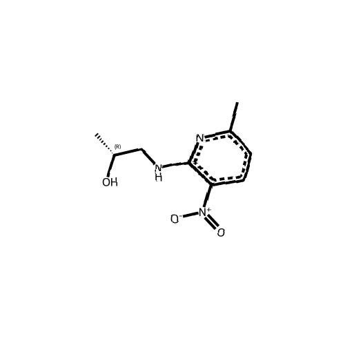 Cc1ccc([N+](=O)[O-])c(NC[C@@H](C)O)n1